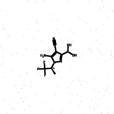 C[C@H](n1nc(B(O)O)c(C#N)c1N)C(F)(F)F